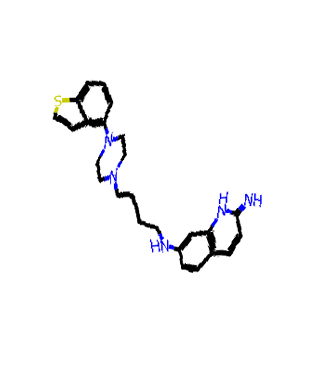 N=c1ccc2ccc(NCCCCN3CCN(c4cccc5sccc45)CC3)cc2[nH]1